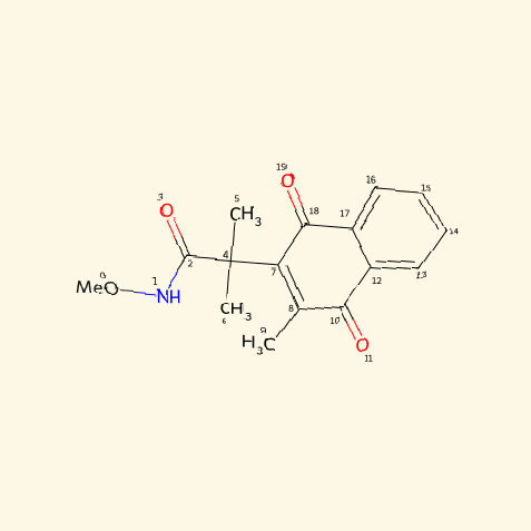 CONC(=O)C(C)(C)C1=C(C)C(=O)c2ccccc2C1=O